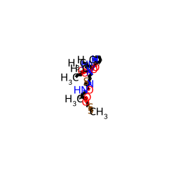 CCCC(=O)OCN(CCCc1nc(C(=O)NCC[C@H](C)C(=O)OCCSSC)cs1)C(=O)[C@@H](NC(=O)[C@H]1CCCCN1C)C(C)CC